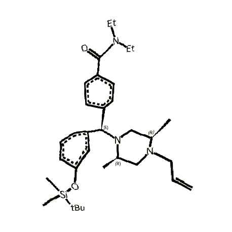 C=CCN1C[C@@H](C)N([C@H](c2ccc(C(=O)N(CC)CC)cc2)c2cccc(O[Si](C)(C)C(C)(C)C)c2)C[C@H]1C